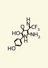 N=C(c1c(N)[nH]c(-c2ccc(O)cc2)c(O)c1=O)C(F)(F)F